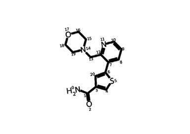 NC(=O)c1csc(-c2cccnc2CN2CCOCC2)c1